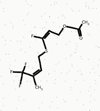 CC(=O)OCC=C(F)SCC=C(C)C(F)(F)F